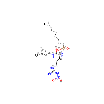 CCCCCCCCS(=O)(=O)N[C@@H](CCCNC(=N)N[N+](=O)[O-])C(=O)NCCC(C)C